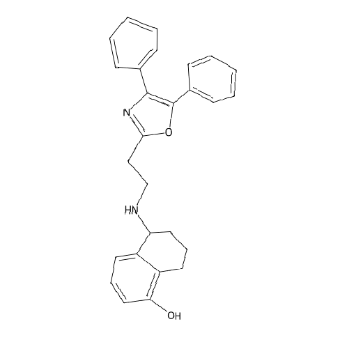 Oc1cccc2c1CCCC2NCCc1nc(-c2ccccc2)c(-c2ccccc2)o1